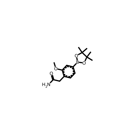 COc1cc(B2OC(C)(C)C(C)(C)O2)ccc1CC(N)=O